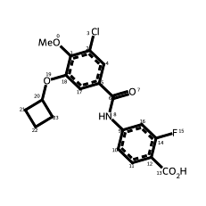 COc1c(Cl)cc(C(=O)Nc2ccc(C(=O)O)c(F)c2)cc1OC1CCC1